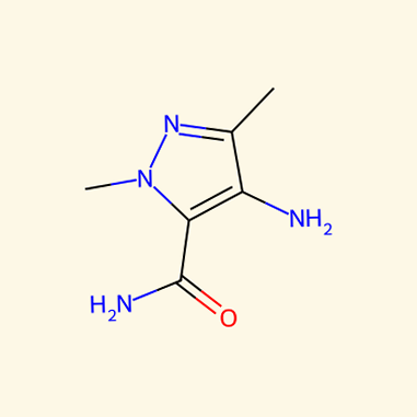 Cc1nn(C)c(C(N)=O)c1N